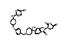 CC(C)c1cnc(NC2CCC(Oc3ccc(CN4CCC(O)(c5ccc6c(c5)CN(C5CCC(=O)NC5=O)C6=O)CC4)cc3)CC2)nc1